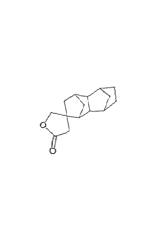 O=C1CC2(CO1)CC1CC2C2C3CCC(C3)C12